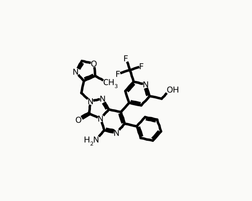 Cc1ocnc1Cn1nc2c(-c3cc(CO)nc(C(F)(F)F)c3)c(-c3ccccc3)nc(N)n2c1=O